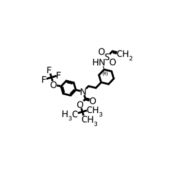 C=CS(=O)(=O)N[C@@H]1CCCC(CCN(C(=O)OC(C)(C)C)c2ccc(OC(F)(F)F)cc2)C1